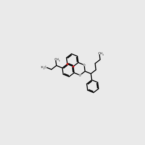 CCCCC(c1ccccc1)C(Oc1ccccc1)Oc1ccc(C(C)CC)cc1